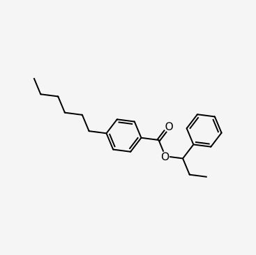 CCCCCCc1ccc(C(=O)OC(CC)c2ccccc2)cc1